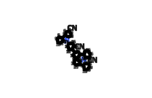 N#Cc1ccc2c(c1)c1ccccc1n2-c1ccc(-c2cccc(-c3cccc(C#N)c3-n3c4ccccc4c4ccccc43)c2)c(C#N)c1